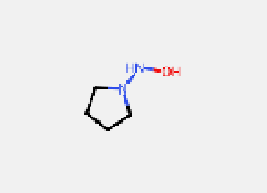 ONN1CCCC1